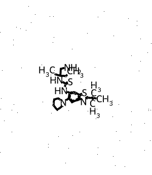 CCC(CC)(CN)NC(=S)Nc1cc2sc(C(C)(C)C)nc2cc1N1CCCCC1